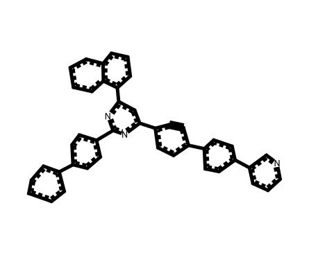 c1c(-c2ccc(-c3cccnc3)cc2)ccc(-c2cc(-c3cccc4ccccc34)nc(-c3ccc(-c4ccccc4)cc3)n2)c#1